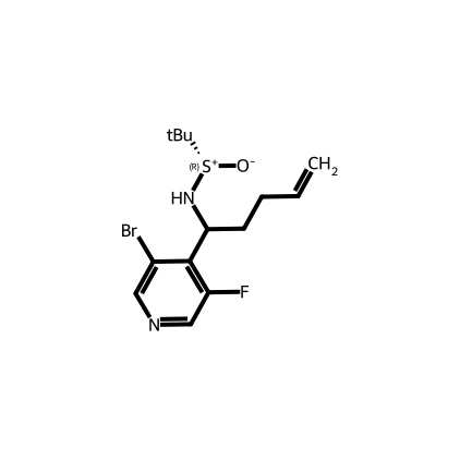 C=CCCC(N[S@@+]([O-])C(C)(C)C)c1c(F)cncc1Br